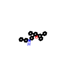 c1ccc(-c2ccc(Nc3ccc(-c4c(-c5ccccc5)ccc5c4oc4c6ccccc6c(-c6ccccc6)cc54)cc3)cc2)cc1